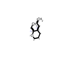 C=C/C=C1/CCCO/C1=C/C